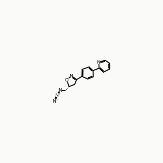 [N-]=[N+]=NC[C@H]1CC(c2ccc(-c3ccccn3)cc2)=NO1